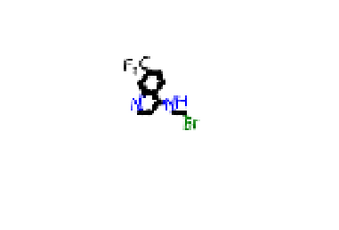 FC(F)(F)c1ccc2c(NCCBr)ccnc2c1